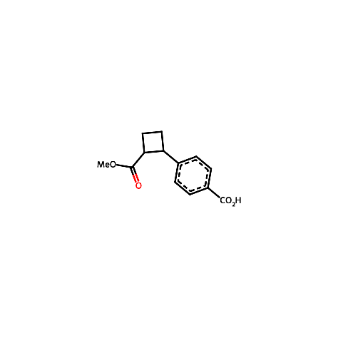 COC(=O)C1CCC1c1ccc(C(=O)O)cc1